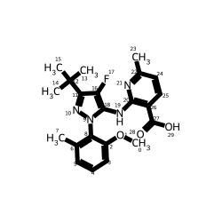 COc1cccc(C)c1-n1nc(C(C)(C)C)c(F)c1Nc1nc(C)ccc1C(=O)O